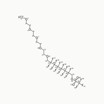 COCCOCCOCCOCCOCC(F)(F)C(F)(F)C(F)(F)C(F)(F)C(F)(F)C(F)(F)COS(=O)(=O)C(F)(F)F